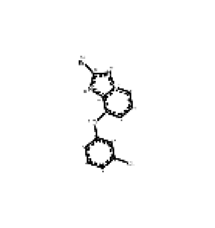 Clc1cccc(Oc2cccn3nc(Br)nc23)c1